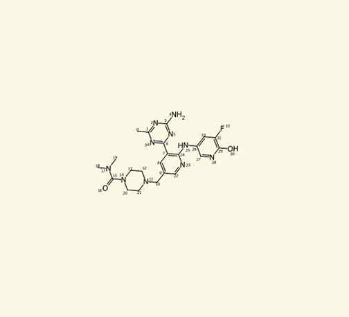 Cc1nc(N)nc(-c2cc(CN3CCN(C(=O)N(C)C)CC3)cnc2Nc2cnc(O)c(F)c2)n1